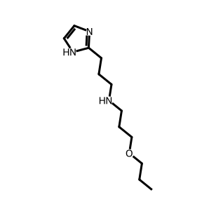 CCCOCCCNCCCc1ncc[nH]1